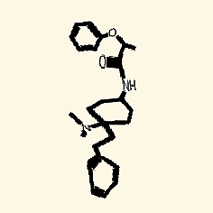 CC(Oc1ccccc1)C(=O)NC1CCC(CCc2ccccc2)(N(C)C)CC1